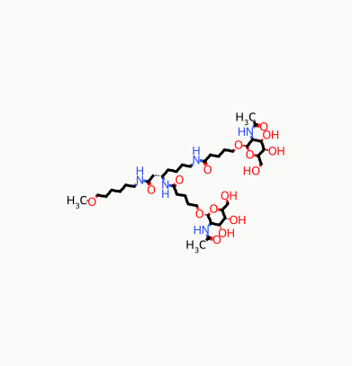 COCCCCCCNC(=O)C[C@H](CCCCNC(=O)CCCCO[C@@H]1OC(CO)[C@H](O)[C@H](O)C1NC(C)=O)NC(=O)CCCCO[C@@H]1OC(CO)[C@H](O)[C@H](O)C1NC(C)=O